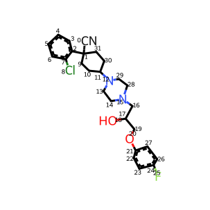 N#CC1(c2ccccc2Cl)CCC(N2CCN(CC(O)COc3ccc(F)cc3)CC2)CC1